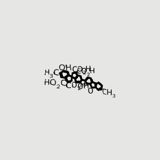 Cc1ccc2c(c1)C(=O)c1cc(-c3cc4c(cc3O)C3(CC(C(=O)O)(C(=O)O)c5cc(C)c(O)cc53)CC4(C(=O)O)C(=O)O)ccc1-2